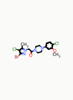 COc1cc(N2CCN(C(=O)Cn3nc(Br)c(Cl)c3C)CC2)ccc1Cl